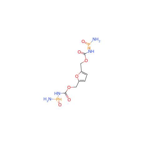 N[PH](=O)NC(=O)OCc1ccc(COC(=O)N[PH](N)=O)o1